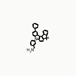 CC1(C)c2ccccc2-c2c1ccc1c2c2cc(-c3ccccc3)ccc2n1-c1cccc(CN)c1